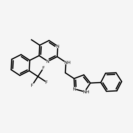 Cc1cnc(NCc2cc(-c3ccccc3)[nH]n2)nc1-c1ccccc1C(F)(F)F